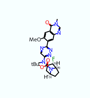 COc1cc2c(=O)n(C)cnc2cc1-c1ncc(N(C)[C@H]2C[C@@H]3CC[C@H]([C@H]2F)N3C(=O)OC(C)(C)C)nn1